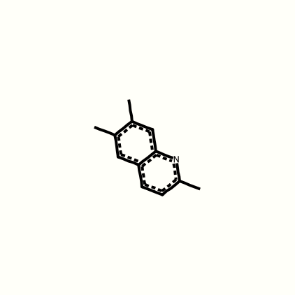 Cc1ccc2cc(C)c(C)cc2n1